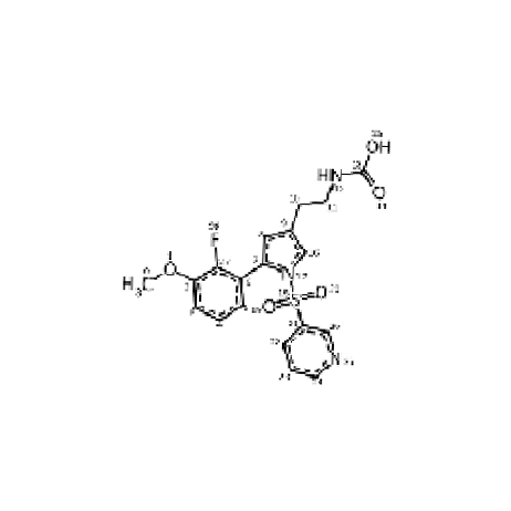 COc1cccc(-c2cc(CCNC(=O)O)cn2S(=O)(=O)c2cccnc2)c1F